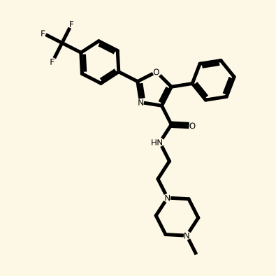 CN1CCN(CCNC(=O)c2nc(-c3ccc(C(F)(F)F)cc3)oc2-c2ccccc2)CC1